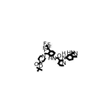 CC(C)(C)OC(=O)N1CCN(Cc2cc(NC(=O)c3cccnc3Nc3ccc4cn[nH]c4c3)ccc2C(F)(F)C(F)(F)F)CC1